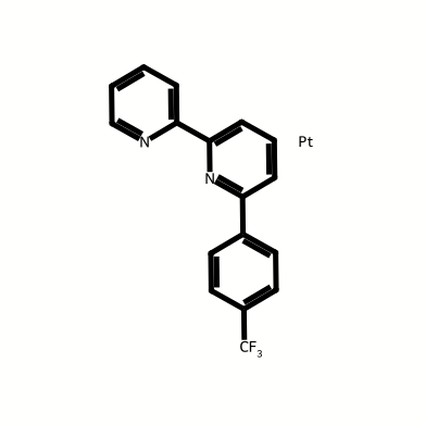 FC(F)(F)c1ccc(-c2cccc(-c3ccccn3)n2)cc1.[Pt]